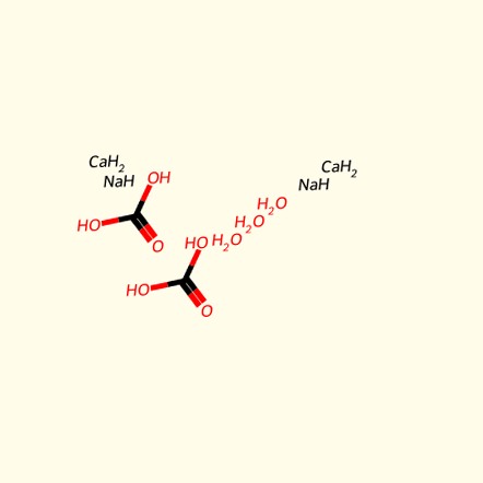 O.O.O.O=C(O)O.O=C(O)O.[CaH2].[CaH2].[NaH].[NaH]